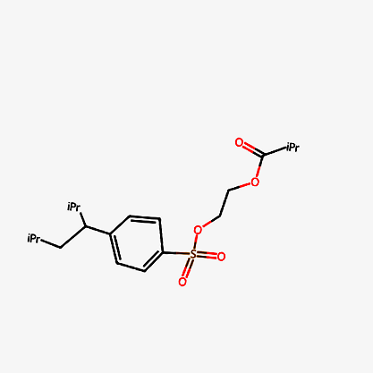 CC(C)CC(c1ccc(S(=O)(=O)OCCOC(=O)C(C)C)cc1)C(C)C